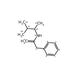 C=C(Cc1ccccc1)NC(C)C(C)C